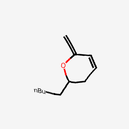 C=C1C=CCC(CCCCC)O1